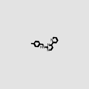 Cc1ccc(CNc2nccc(-c3ccccn3)n2)cc1